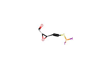 O=C[C@H]1O[C@@H]1C#CSP(I)I